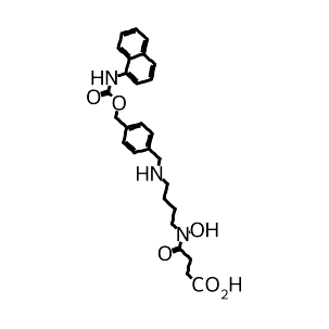 O=C(O)CCC(=O)N(O)CCCCNCc1ccc(COC(=O)Nc2cccc3ccccc23)cc1